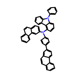 c1ccc(-n2c3ccccc3c3c(N(c4ccc(-c5ccc6c(ccc7ccccc76)c5)cc4)c4ccc5ccc6ccccc6c5c4)cccc32)cc1